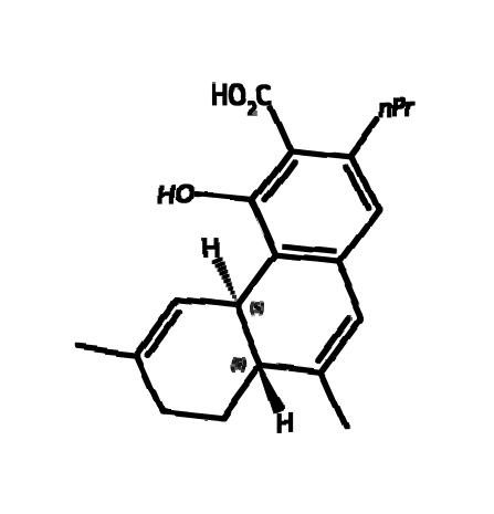 CCCc1cc2c(c(O)c1C(=O)O)[C@@H]1C=C(C)CC[C@H]1C(C)=C2